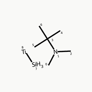 CN(C)C(C)(C)C.[SiH3][Ti]